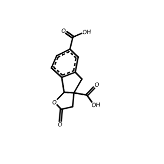 O=C1CC2(C(=O)O)Cc3cc(C(=O)O)ccc3C2O1